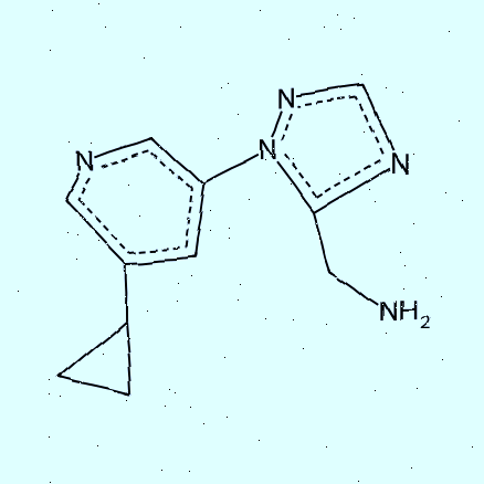 NCc1ncnn1-c1cncc(C2CC2)c1